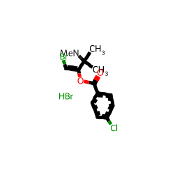 Br.CNC(C)(C)C(=CBr)OC(=O)c1ccc(Cl)cc1